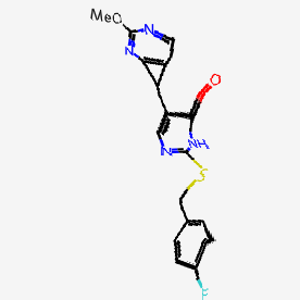 COc1ncc2c(n1)C2c1cnc(SCc2ccc(F)cc2)[nH]c1=O